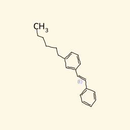 CCCCCCc1cccc(/C=C/c2ccccc2)c1